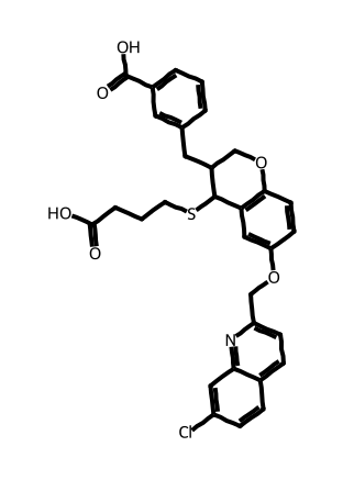 O=C(O)CCCSC1c2cc(OCc3ccc4ccc(Cl)cc4n3)ccc2OCC1Cc1cccc(C(=O)O)c1